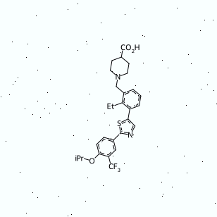 CCc1c(CN2CCC(C(=O)O)CC2)cccc1-c1cnc(-c2ccc(OC(C)C)c(C(F)(F)F)c2)s1